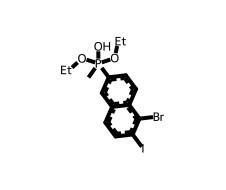 CCOP(C)(O)(OCC)c1ccc2c(Br)c(I)ccc2c1